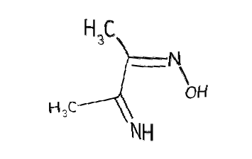 CC(=N)/C(C)=N\O